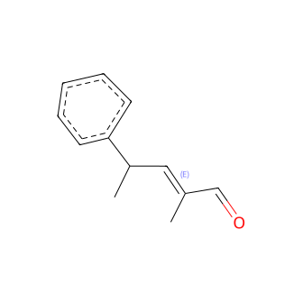 C/C(C=O)=C\C(C)c1ccccc1